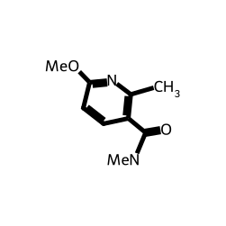 CNC(=O)c1ccc(OC)nc1C